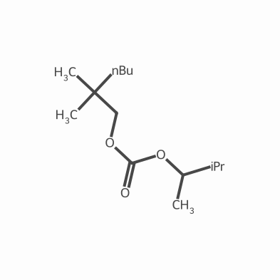 CCCCC(C)(C)COC(=O)OC(C)C(C)C